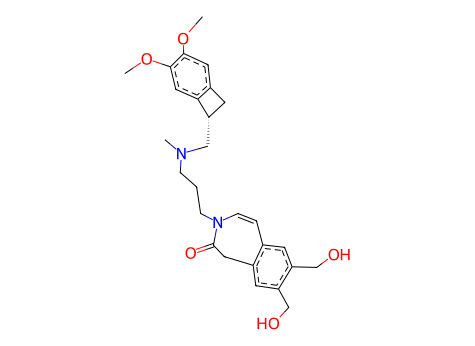 COc1cc2c(cc1OC)[C@@H](CN(C)CCCN1C=Cc3cc(CO)c(CO)cc3CC1=O)C2